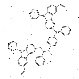 C=Cc1ccc2c(c1)c1cc(CC(c3ccccc3)C(C)c3ccc(N(c4ccccc4)c4ccc5c(c4)c4cc(C=C)ccc4n5-c4ccccc4)cc3)ccc1n2-c1ccccc1